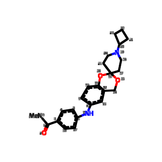 CNC(=O)c1ccc(Nc2ccc3c(c2)COC2(CCN(C4CCC4)CC2)O3)cc1